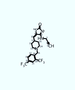 C#CCNC1=NC(=O)SC1=CC1CCN(Cc2ccc(C(F)(F)F)cc2C(F)(F)F)CC1